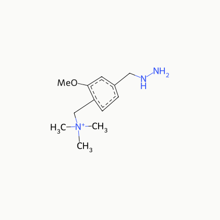 COc1cc(CNN)ccc1C[N+](C)(C)C